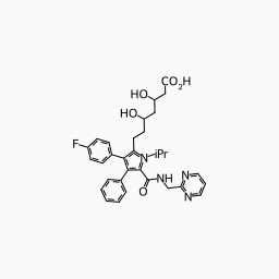 CC(C)n1c(CCC(O)CC(O)CC(=O)O)c(-c2ccc(F)cc2)c(-c2ccccc2)c1C(=O)NCc1ncccn1